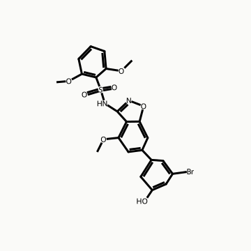 COc1cccc(OC)c1S(=O)(=O)Nc1noc2cc(-c3cc(O)cc(Br)c3)cc(OC)c12